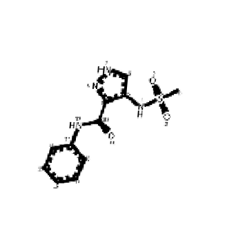 CS(=O)(=O)Nc1c[nH]nc1C(=O)Nc1ccccc1